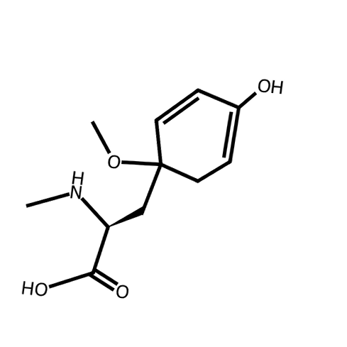 CN[C@@H](CC1(OC)C=CC(O)=CC1)C(=O)O